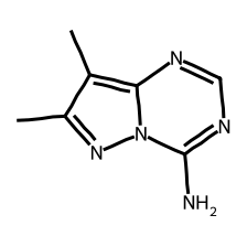 Cc1nn2c(N)ncnc2c1C